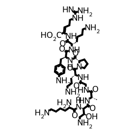 C[C@H](NC(=O)[C@@H](NC(=O)[C@@H](N)CCCCN)[C@@H](O)CN)C(=O)NCC(=O)N[C@H](CCCN)C(=O)N1CCC[C@H]1C(=O)N[C@@H](Cc1ccc(N)cc1)C(=O)N[C@@H](CCCCN)C(=O)N/C(=C\CCNC(=N)N)C(=O)O